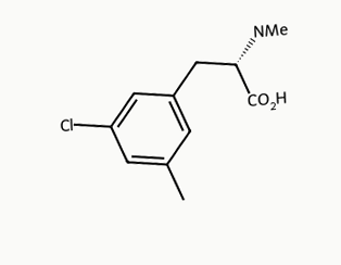 CN[C@@H](Cc1cc(C)cc(Cl)c1)C(=O)O